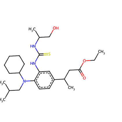 CCOC(=O)CC(C)c1ccc(N(CC(C)C)C2CCCCC2)c(NC(=S)NC(C)CO)c1